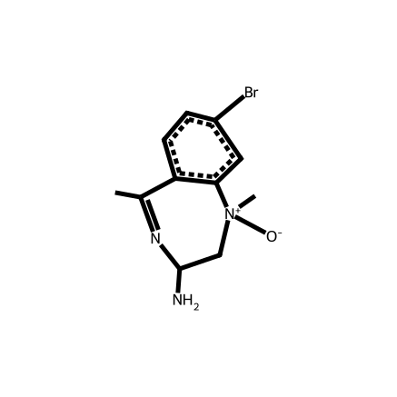 CC1=NC(N)C[N+](C)([O-])c2cc(Br)ccc21